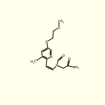 COCCOc1cnc(/C=C\N(C=O)CC(N)=O)c(C)c1